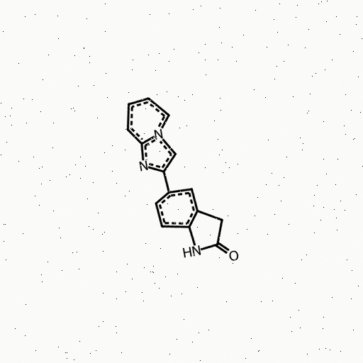 O=C1Cc2cc(-c3cn4ccccc4n3)ccc2N1